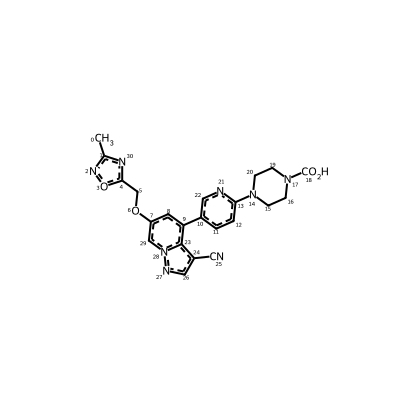 Cc1noc(COc2cc(-c3ccc(N4CCN(C(=O)O)CC4)nc3)c3c(C#N)cnn3c2)n1